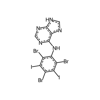 Brc1c(I)c(Br)c(Nc2ncnc3[nH]cnc23)c(Br)c1I